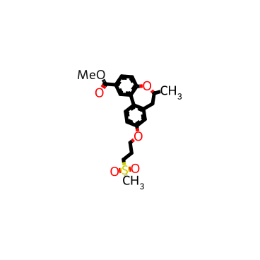 COC(=O)c1ccc2c(c1)-c1ccc(OCCCS(C)(=O)=O)cc1CC(C)O2